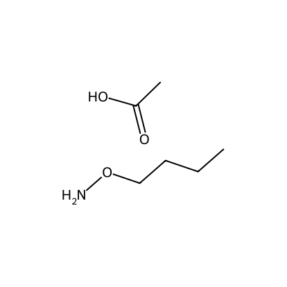 CC(=O)O.CCCCON